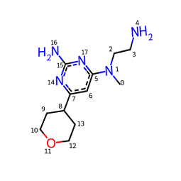 CN(CCN)c1cc(C2CCOCC2)nc(N)n1